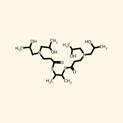 CC(O)CN(CCC(=O)SC(C)C(C)SC(=O)CCN(CC(C)O)CC(C)O)CC(C)O